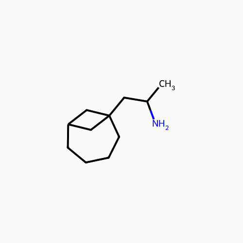 CC(N)CC12CCCCC(C1)C2